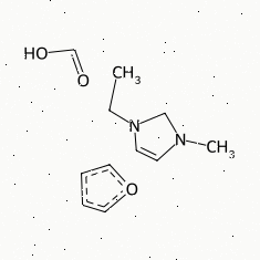 CCN1C=CN(C)C1.O=CO.c1ccoc1